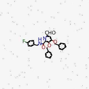 O=Cc1cc(OCc2ccccc2)c(OCc2ccccc2)c(C(=O)NCc2ccc(F)cc2)n1